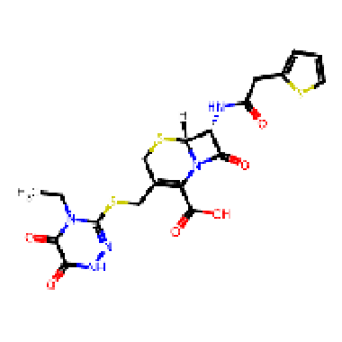 CCn1c(SCC2=C(C(=O)O)N3C(=O)[C@@H](NC(=O)Cc4cccs4)[C@H]3SC2)n[nH]c(=O)c1=O